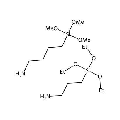 CCO[Si](CCCN)(OCC)OCC.CO[Si](CCCCN)(OC)OC